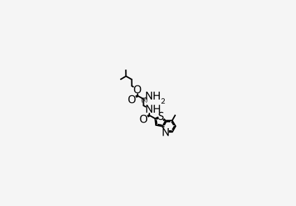 Cc1ccnc2cc(C(=O)NC[C@@H](N)C(=O)OCCC(C)C)sc12